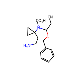 N#CCC(OCc1ccccc1)N(C(=O)O)C1(CCN)CC1